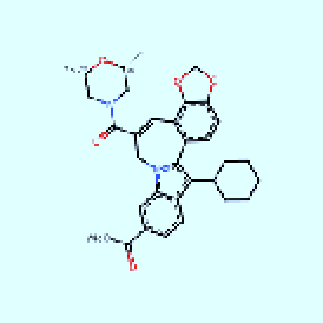 COC(=O)c1ccc2c(C3CCCCC3)c3n(c2c1)CC(C(=O)N1C[C@@H](C)O[C@@H](C)C1)=Cc1c-3ccc2c1OCO2